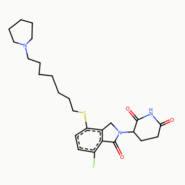 O=C1CCC(N2Cc3c(SCCCCCCCN4CCCCC4)ccc(F)c3C2=O)C(=O)N1